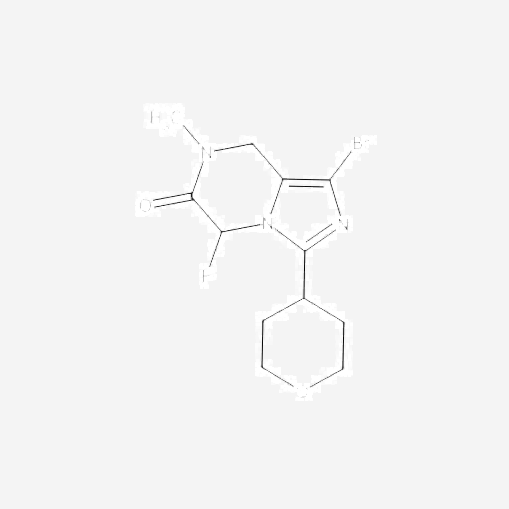 CN1Cc2c(Br)nc(C3CCOCC3)n2C(F)C1=O